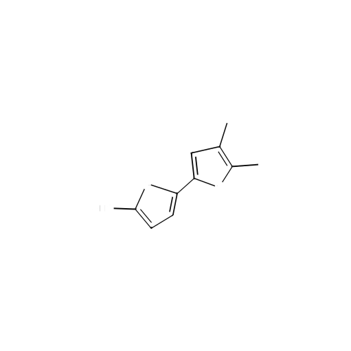 Cc1cc(-c2ccc(C=O)s2)sc1C